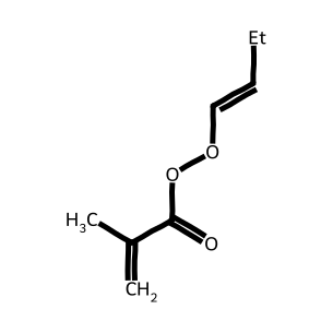 C=C(C)C(=O)OOC=CCC